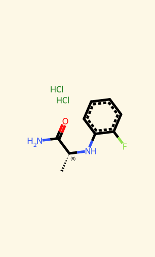 C[C@@H](Nc1ccccc1F)C(N)=O.Cl.Cl